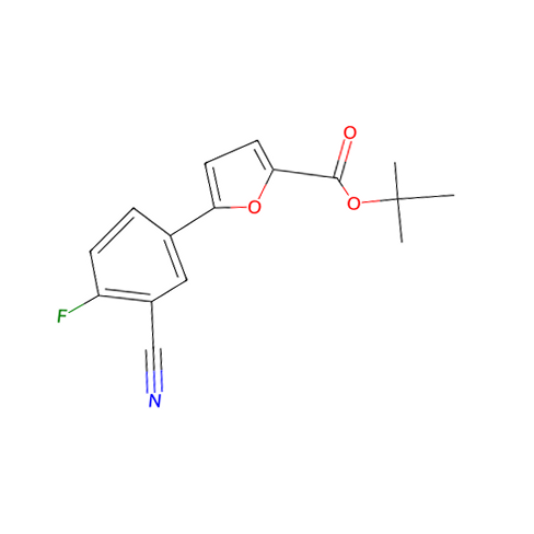 CC(C)(C)OC(=O)c1ccc(-c2ccc(F)c(C#N)c2)o1